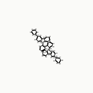 c1ccc(-n2c3ccccc3c3cc(-c4ccccc4)ccc32)c(-c2ccccc2-n2c3c(c4cc(-c5ccccc5)ccc42)C=CCC3)c#1